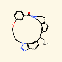 O=C(O)CC1c2ccc3c(c2)CN(CC3)C(=O)c2cccc(c2)OCCCCn2nnc3ccc1cc32